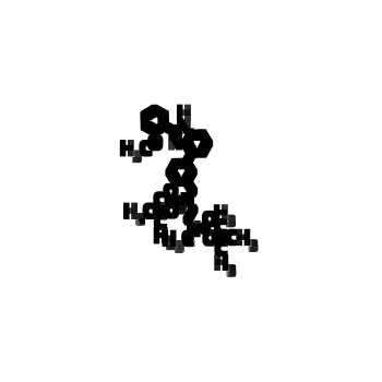 COc1ccccc1-c1nc2c(-c3cccc(CN(CCN(C)C(=O)OC(C)(C)C)C(=O)OC(C)(C)C)c3)cccc2[nH]1